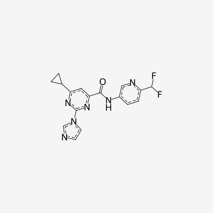 O=C(Nc1ccc(C(F)F)nc1)c1cc(C2CC2)nc(-n2ccnc2)n1